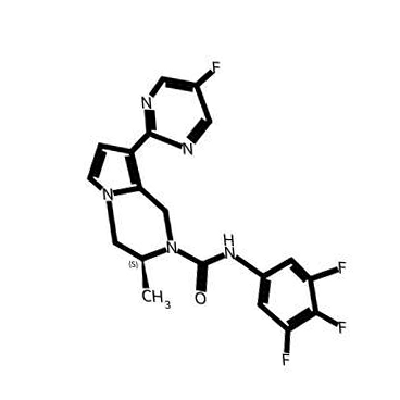 C[C@H]1Cn2ccc(-c3ncc(F)cn3)c2CN1C(=O)Nc1cc(F)c(F)c(F)c1